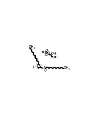 CCCCCCCCCCCC(=O)OCC(CO)OC(=O)CCCCCCCCCCC.O=P(O)(O)OCC(O)CO